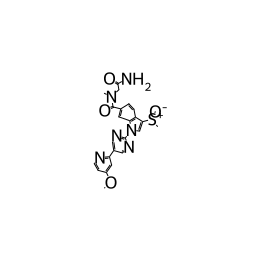 COc1ccnc(-c2cnc(-n3cc([S+](C)[O-])c4ccc(C(=O)N(C)CC(N)=O)cc43)nc2)c1